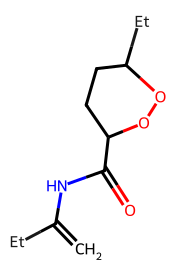 C=C(CC)NC(=O)C1CCC(CC)OO1